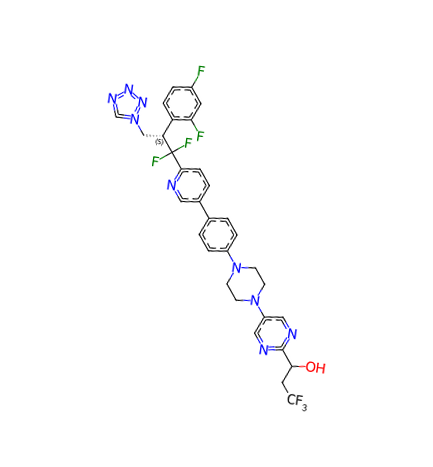 OC(CC(F)(F)F)c1ncc(N2CCN(c3ccc(-c4ccc(C(F)(F)[C@H](Cn5cnnn5)c5ccc(F)cc5F)nc4)cc3)CC2)cn1